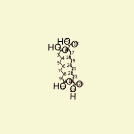 O=C(O)CCCCCCCC(=O)O.O=C(O)CCCCCCCCCC(=O)O